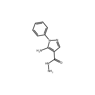 NNC(=O)c1cnn(-c2ccccc2)c1N